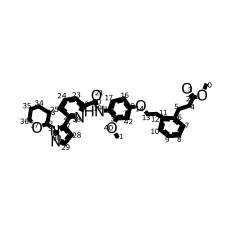 COC(=O)CCc1ccccc1CCOc1ccc(NC(=O)c2cccc(-c3ccnn3C3CCCCO3)n2)c(OC)c1